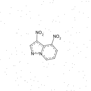 O=[N+]([O-])c1cccn2ncc([N+](=O)[O-])c12